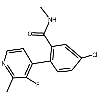 CNC(=O)c1cc(Cl)ccc1-c1ccnc(C)c1F